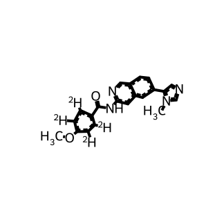 [2H]c1c([2H])c(C(=O)Nc2cc3cc(-c4cncn4C)ccc3cn2)c([2H])c([2H])c1OC